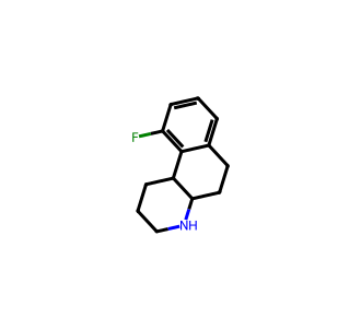 Fc1cccc2c1C1CCCNC1CC2